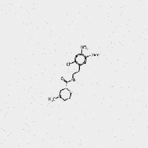 COc1cc(CCNC(=O)[C@H]2CN(C)CCO2)c(Cl)cc1[N+](=O)[O-]